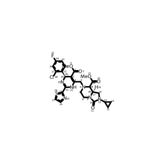 COC(=O)C1=C(CN2CCN3C(=O)N(C4CC4)C[C@@H]3C2C(=O)OC)NC(c2nccs2)=N[C@H]1c1ccc(F)cc1Cl